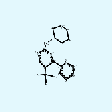 FC(F)(F)c1cnc(N[C@H]2CCCNC2)nc1-c1cccnn1